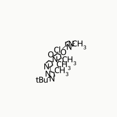 Cc1cnc(C(C)(C)C)nc1-c1cc(-n2c(C)c(C)c(OCc3ccn(C)n3)c(Cl)c2=O)ccn1